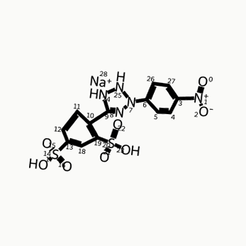 O=[N+]([O-])c1ccc(N2N=C(c3ccc(S(=O)(=O)O)cc3S(=O)(=O)O)NN2)cc1.[Na+]